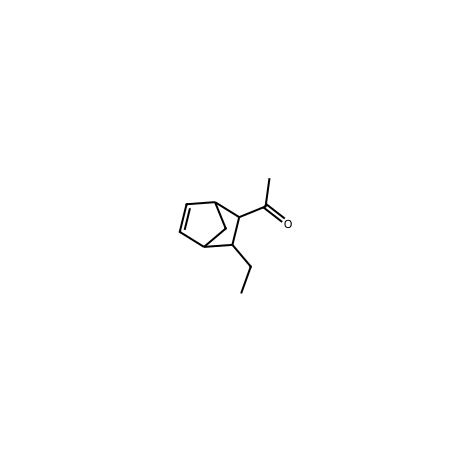 CCC1C2C=CC(C2)C1C(C)=O